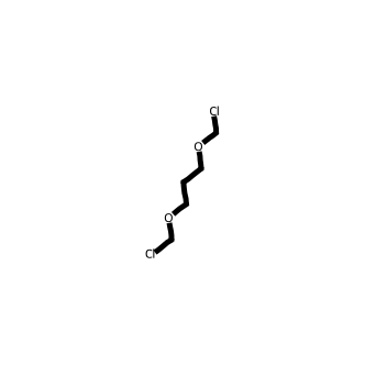 ClCOCCCOCCl